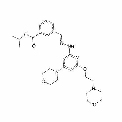 CC(C)OC(=O)c1cccc(/C=N/Nc2cc(N3CCOCC3)cc(OCCN3CCOCC3)n2)c1